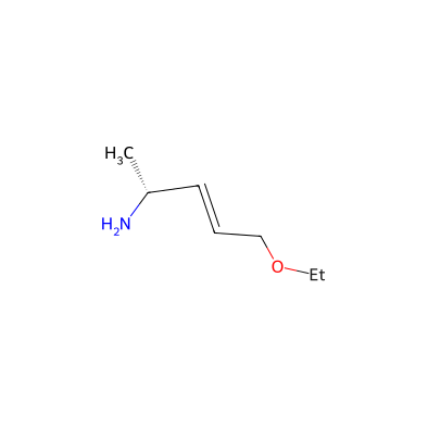 CCOC/C=C/[C@@H](C)N